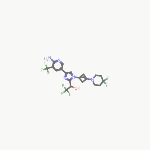 Nc1ncc(-c2cn(C34CC(N5CCC(F)(F)CC5)(C3)C4)c(C(O)C(F)(F)F)n2)cc1C(F)(F)F